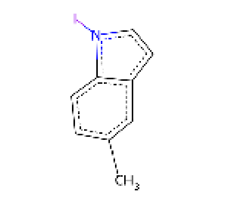 Cc1ccc2c(ccn2I)c1